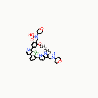 COc1cc(-c2nccc(-c3cccc(-c4ccc5c(CNC6CCOCC6)cn(C)c5n4)c3Cl)c2Cl)ccc1CN(C(=O)O)C1CCOCC1